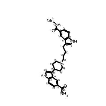 CC(C)(C)NC(=O)c1ccc2[nH]cc(CCCCN3CCC(c4c[nH]c5ccc(C(N)=O)cc45)CC3)c2c1